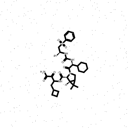 CC(C)[C@@H](CS(=O)(=O)c1ccccc1)NC(=O)N[C@H](C(=O)N1CC2[C@@H]([C@H]1C(=O)NC(CC1CCC1)C(=O)C(N)=O)C2(C)C)C1CCCCC1